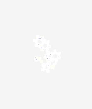 Cc1cccc2c(-c3ccc4ncccc4n3)nn(C3NCCO3)c12.N